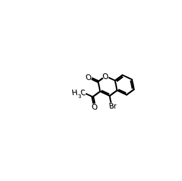 CC(=O)c1c(Br)c2ccccc2oc1=O